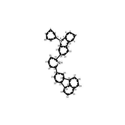 c1ccc(-n2c3ccccc3c3ccc(-c4cccc(-c5ccc6c(c5)-c5cccc7cccc-6c57)n4)cc32)cc1